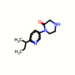 CCC(C)c1ccc(N2CCNCC2=O)cn1